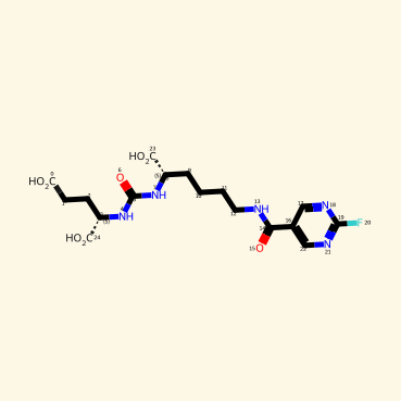 O=C(O)CC[C@H](NC(=O)N[C@@H](CCCCNC(=O)c1cnc(F)nc1)C(=O)O)C(=O)O